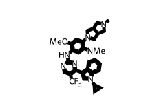 CNc1cc(Nc2ncc(C(F)(F)F)c(-c3cn(C4CC4)c4ccccc34)n2)c(OC)cc1N1CC2CN(C)CC2C1